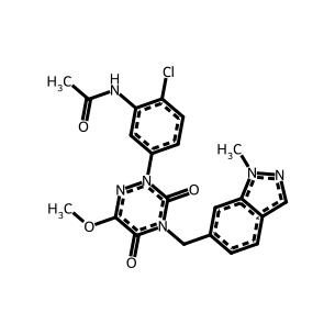 COc1nn(-c2ccc(Cl)c(NC(C)=O)c2)c(=O)n(Cc2ccc3cnn(C)c3c2)c1=O